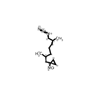 CC(CCCC(C)CC1(N=O)CC1)CN=[N+]=[N-]